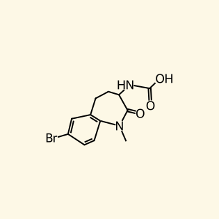 CN1C(=O)C(NC(=O)O)CCc2cc(Br)ccc21